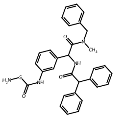 CN(Cc1ccccc1)C(=O)C(NC(=O)C(c1ccccc1)c1ccccc1)c1cccc(NC(=O)SN)c1